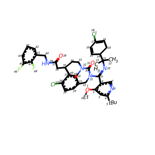 CCOc1cc(C(C)(C)C)ncc1/C(=N/C(C)(C)C1C=CC(Cl)=CC1)N(Cc1ccc(Cl)cc1)C(=O)N1CCC(CC(=O)NCc2cccc(F)c2F)CC1